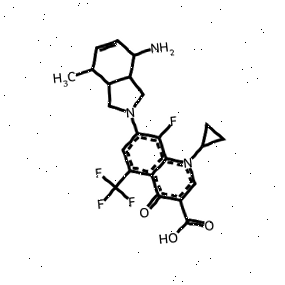 CC1C=CC(N)C2CN(c3cc(C(F)(F)F)c4c(=O)c(C(=O)O)cn(C5CC5)c4c3F)CC12